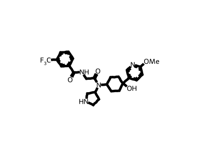 COc1ccc(C2(O)CCC(N(C(=O)CNC(=O)c3cccc(C(F)(F)F)c3)C3CCNC3)CC2)cn1